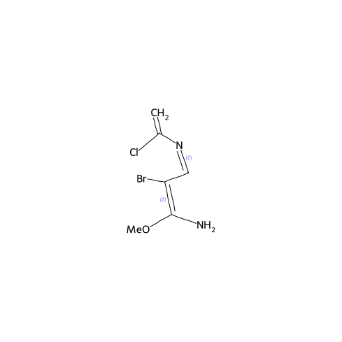 C=C(Cl)/N=C\C(Br)=C(/N)OC